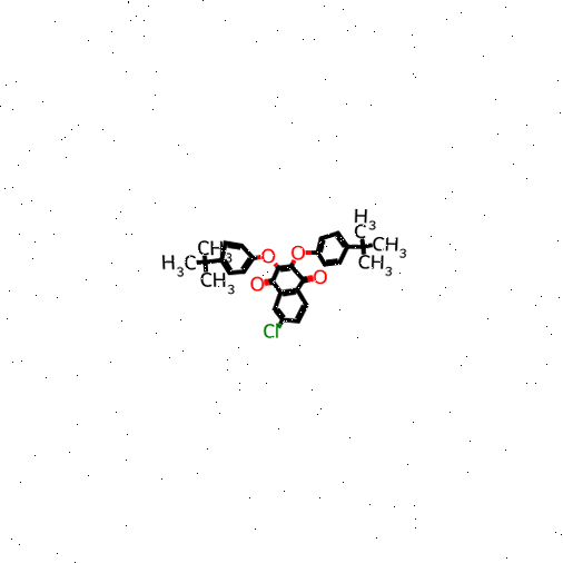 CC(C)(C)c1ccc(OC2=C(Oc3ccc(C(C)(C)C)cc3)C(=O)c3cc(Cl)ccc3C2=O)cc1